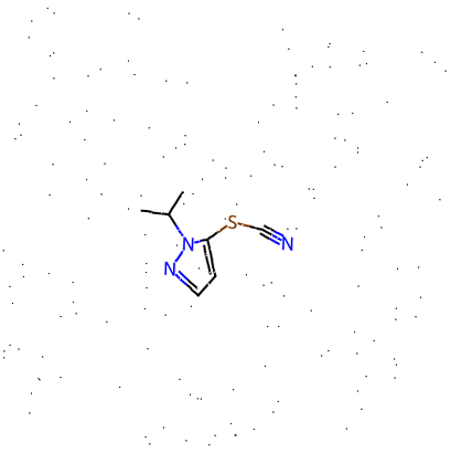 CC(C)n1nccc1SC#N